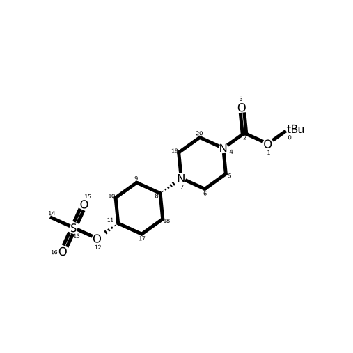 CC(C)(C)OC(=O)N1CCN([C@H]2CC[C@@H](OS(C)(=O)=O)CC2)CC1